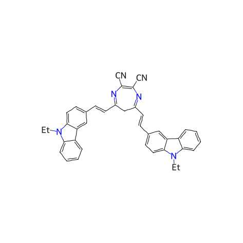 CCn1c2ccccc2c2cc(C=CC3=NC(C#N)=C(C#N)N=C(C=Cc4ccc5c(c4)c4ccccc4n5CC)C3)ccc21